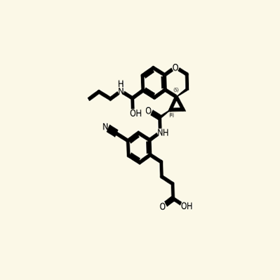 CCCNC(O)c1ccc2c(c1)[C@]1(CCO2)C[C@H]1C(=O)Nc1cc(C#N)ccc1CCCC(=O)O